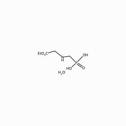 CCOC(=O)CNCP(=O)(O)O.O